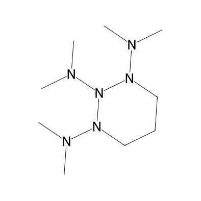 CN(C)N1CCCN(N(C)C)N1N(C)C